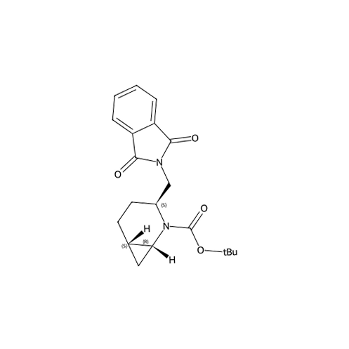 CC(C)(C)OC(=O)N1[C@H](CN2C(=O)c3ccccc3C2=O)CC[C@H]2C[C@H]21